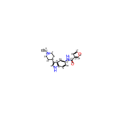 CC(C)(C)N1CCC(c2c[nH]c3ccc(NC(=O)c4ccoc4)cc23)CC1